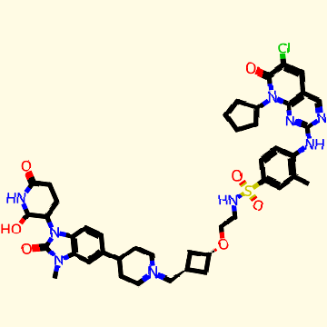 Cc1cc(S(=O)(=O)NCCO[C@H]2C[C@H](CN3CCC(c4ccc5c(c4)n(C)c(=O)n5C4CCC(=O)NC4O)CC3)C2)ccc1Nc1ncc2cc(Cl)c(=O)n(C3CCCC3)c2n1